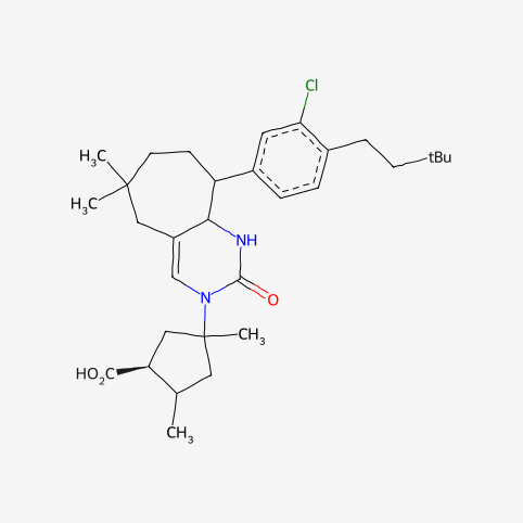 CC1CC(C)(N2C=C3CC(C)(C)CCC(c4ccc(CCC(C)(C)C)c(Cl)c4)C3NC2=O)C[C@@H]1C(=O)O